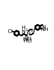 Cl.Cl.N[C@H](Cc1ccc(Cl)cc1)C(=O)N1CCN(c2ccc3cn[nH]c3c2)CC1